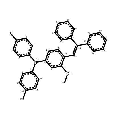 COc1cc(N(c2ccc(C)cc2)c2ccc(C)cc2)ccc1C=C(c1ccccc1)c1ccccc1